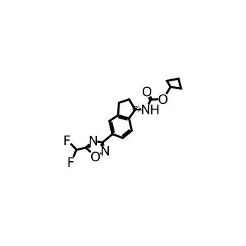 O=C(N[C@@H]1CCc2cc(-c3noc(C(F)F)n3)ccc21)OC1CCC1